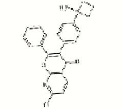 NC1(c2ccc(-c3c(-c4ccccc4)oc4nc(Cl)ccc4c3=O)cc2)CCC1